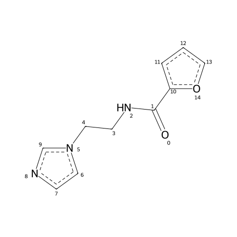 O=C(NCCn1ccnc1)c1ccco1